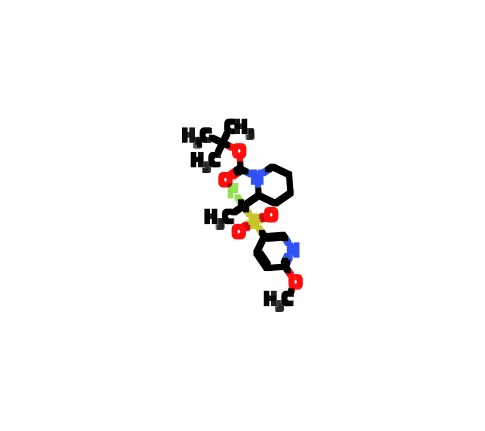 COc1ccc(S(=O)(=O)C(C)(F)C2CCCCN2C(=O)OC(C)(C)C)cn1